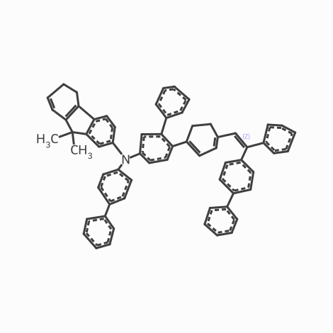 CC1(C)C2=C(CCC=C2)c2ccc(N(c3ccc(-c4ccccc4)cc3)c3ccc(C4=CC=C(/C=C(/c5ccccc5)c5ccc(-c6ccccc6)cc5)CC4)c(-c4ccccc4)c3)cc21